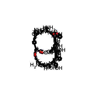 C[C@H](N)C(=O)N[C@H]1CSCc2ccc(cc2)CN2Cc3ccc(cc3)CSC[C@@H](C(N)=O)CC(=O)[C@H](C(C)(C)C)NC(=O)[C@H](CC(=O)O)NC(=O)[C@H](Cc3ccc(O)cc3)NC(=O)[C@H](Cc3ccccc3)NC(=O)[C@H](CC(=O)O)NC(=O)[C@H](CC(C(=O)O)[C@@]3(CC3=O)NC(=O)[C@H](Cc3cccc4ccccc34)NC(=O)[C@H](CCC(=O)O)NC(=O)[C@H](CC(N)=O)NC(=O)[C@@H](C)NC1=O)NC(=O)[C@@H](N)CSCc1ccc(cc1)C2